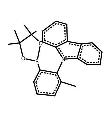 Cc1cccc(B2OC(C)(C)C(C)(C)O2)c1-n1c2ccccc2c2ccccc21